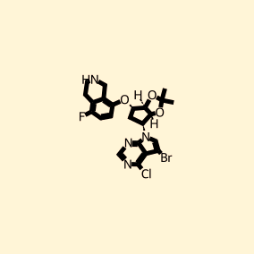 CC1(C)O[C@@H]2[C@H](O1)[C@@H](Oc1ccc(F)c3c1CNCC3)C[C@H]2n1cc(Br)c2c(Cl)ncnc21